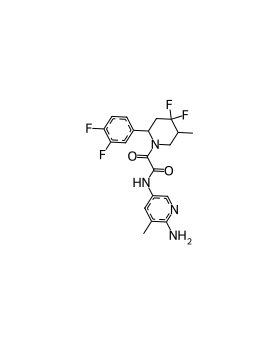 Cc1cc(NC(=O)C(=O)N2CC(C)C(F)(F)CC2c2ccc(F)c(F)c2)cnc1N